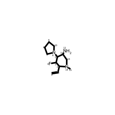 C=CC1C(F)C(N2CCCC2)C(N)CN1C